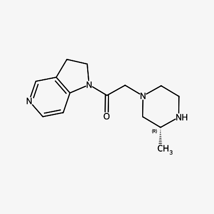 C[C@@H]1CN(CC(=O)N2CCc3cnccc32)CCN1